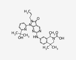 C=CCn1c(=O)c2cnc(Nc3ccc4c(c3)[C@@H](C)N(C(=O)O)CC4(C)C)nc2n1-c1cccc(C(C)(C)O)n1